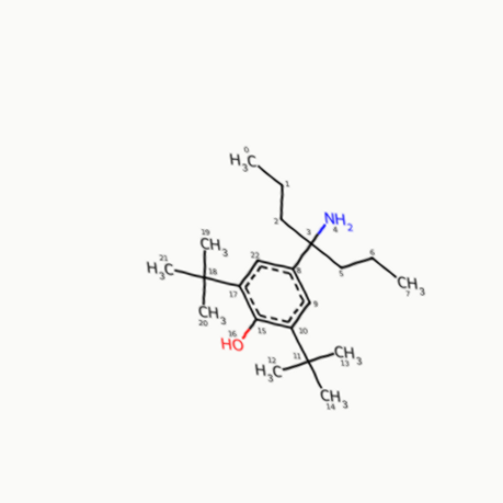 CCCC(N)(CCC)c1cc(C(C)(C)C)c(O)c(C(C)(C)C)c1